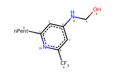 CCCCCc1cc(NCO)cc(C(F)(F)F)n1